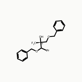 CC(C)C(OCc1ccccc1)[C@](O)(COCc1ccccc1)C(F)(F)F